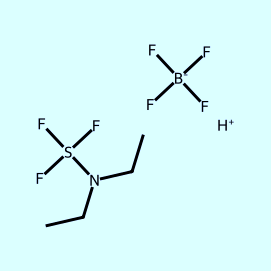 CCN(CC)S(F)(F)F.F[B-](F)(F)F.[H+]